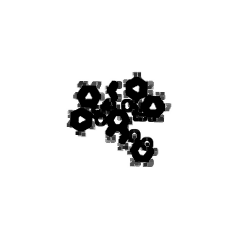 C=CCOC1C(O[Si](c2ccccc2)(c2ccccc2)C(C)(C)C)CC(=C(C)OC2CCCCO2)C(=C)C1O[Si](c1ccccc1)(c1ccccc1)C(C)(C)C